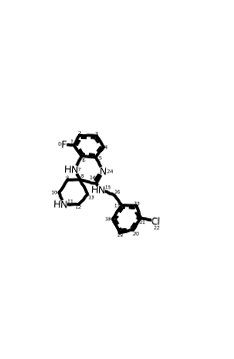 Fc1cccc2c1NC1(CCNCC1)C(NCc1cccc(Cl)c1)=N2